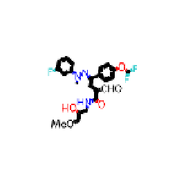 COCC(O)CNC(=O)/C(C=O)=C/C(=N\N(C)c1cccc(F)c1)c1ccc(OC(F)F)cc1